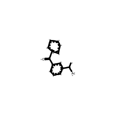 CC(=O)C(C)c1cccc(C(=O)c2ccccc2)c1